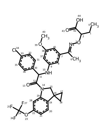 CCC(ON=C(C)c1cc(NC(C(=O)N2CC3(CC3)c3ccc(OC(F)(F)F)cc32)c2ccc(Cl)cc2)cc(OC)c1)C(=O)O